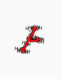 CC(=O)N[C@H]1[C@H](OCCOCCOCCOCC(=O)NCCCC[C@H](NC(=O)COCCOCCOCCO[C@@H]2O[C@H](CO)[C@H](O)[C@H](O)[C@H]2NC(C)=O)C(=O)N[C@@H](CCCCNC(=O)COCCOCCOCCO[C@@H]2O[C@H](CCO)[C@H](O)[C@H](O)[C@H]2NC(C)=O)C(=O)O)O[C@H](CO)[C@H](O)[C@@H]1O